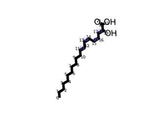 CCCCCCCCCCC/C=C/C=C\C=C/C=C(\O)C(=O)O